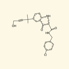 CC(C)(C#CCO)c1ccc2[nH]cc(C(=O)NCc3ccc(Cl)cc3)c(=O)c2c1